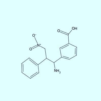 NC(c1cccc(C(=O)O)c1)C(C[N+](=O)[O-])c1ccccc1